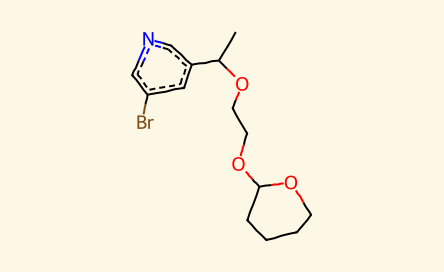 CC(OCCOC1CCCCO1)c1cncc(Br)c1